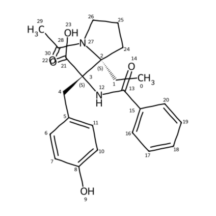 CC[C@@]1([C@](Cc2ccc(O)cc2)(NC(=O)c2ccccc2)C(=O)O)CCCN1C(C)=O